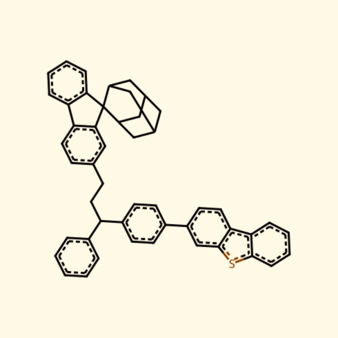 c1ccc(C(CCc2ccc3c(c2)C2(c4ccccc4-3)C3CC4CC(C3)CC2C4)c2ccc(-c3ccc4c(c3)sc3ccccc34)cc2)cc1